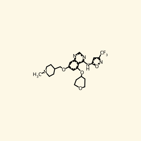 CN1CCC(COc2cc(OC3CCOCC3)c3c(Nc4cc(C(F)(F)F)no4)ncnc3c2)CC1